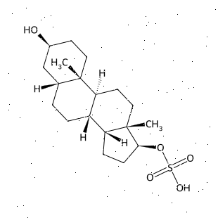 C[C@]12CC[C@H](O)C[C@H]1CC[C@H]1[C@H]3CC[C@H](OS(=O)(=O)O)[C@@]3(C)CC[C@@H]12